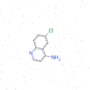 Nc1ccnc2ccc(Cl)cc12